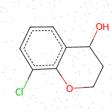 OC1CCOc2c(Cl)cccc21